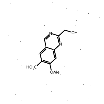 COc1cc2nc(CO)ncc2cc1C(=O)O